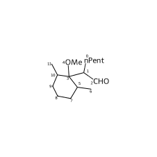 CCCCCC(C=O)C1(OC)C(C)CCCC1C